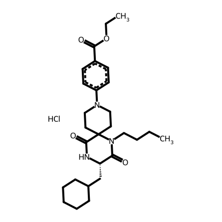 CCCCN1C(=O)[C@H](CC2CCCCC2)NC(=O)C12CCN(c1ccc(C(=O)OCC)cc1)CC2.Cl